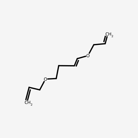 C=CCOC=CCCOCC=C